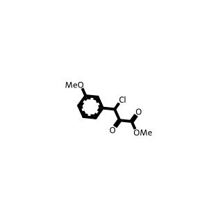 COC(=O)C(=O)C(Cl)c1cccc(OC)c1